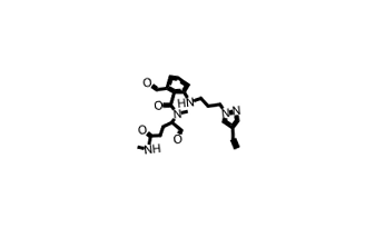 C#Cc1cnn(CCCNc2cccc(C=O)c2C(=O)N(C)C(C=O)CCC(=O)NC)c1